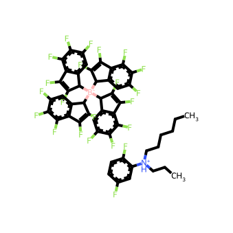 CCCCCC[NH+](CCC)c1cc(F)ccc1F.FC1=C(F)C([B-](C2C(F)=C(F)c3c2cc(F)c(F)c3F)(C2C(F)=C(F)c3c2cc(F)c(F)c3F)C2C(F)=C(F)c3c2cc(F)c(F)c3F)c2cc(F)c(F)c(F)c21